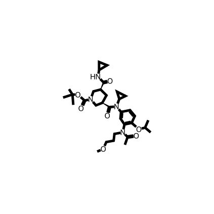 COCCCN(C(C)=O)c1cc(N(C(=O)[C@@H]2C[C@H](C(=O)NC3CC3)CN(C(=O)OC(C)(C)C)C2)C2CC2)ccc1OC(C)C